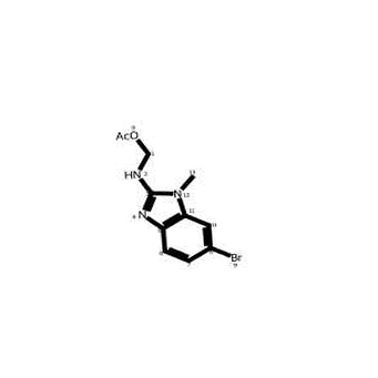 CC(=O)OCNc1nc2ccc(Br)cc2n1C